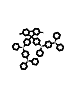 Ic1ccc2c(c1)C(c1ccc(N(c3ccccc3)c3ccc(N(c4ccccc4)c4ccccc4)cc3)cc1)(c1ccc(N(c3ccccc3)c3ccc(N(c4ccccc4)c4ccccc4)cc3)cc1)c1cc(I)ccc1-2